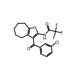 O=C(c1cccc(Cl)c1)c1c(NC(=O)C(F)(F)F)sc2c1CCCCC2